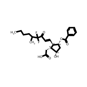 CCCCC(C)C(F)(F)C(=O)C=C[C@@H]1[C@@H](CC(=O)O)[C@@H](O)C[C@H]1OC(=O)c1ccccc1